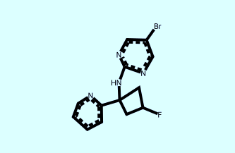 FC1CC(Nc2ncc(Br)cn2)(c2ccccn2)C1